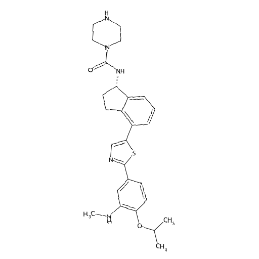 CNc1cc(-c2ncc(-c3cccc4c3CC[C@@H]4NC(=O)N3CCNCC3)s2)ccc1OC(C)C